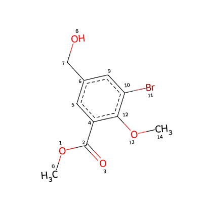 COC(=O)c1cc(CO)cc(Br)c1OC